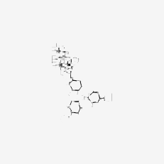 Clc1ccc([S+](c2ccc(Cl)cc2)c2ccc(Cl)cc2)cc1.O=S(=O)([O-])C(F)(F)C(F)(F)C(F)(F)C(F)(F)F